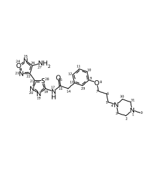 CN1CCN(CCCOc2cccc(CC(=O)Nc3nnc(-c4nonc4N)s3)c2)CC1